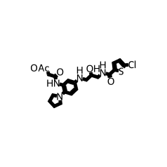 CC(=O)OCC(=O)Nc1cc(NCC(O)CNC(=O)c2ccc(Cl)s2)ccc1N1CCCC1